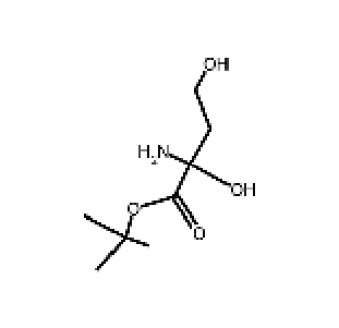 CC(C)(C)OC(=O)C(N)(O)CCO